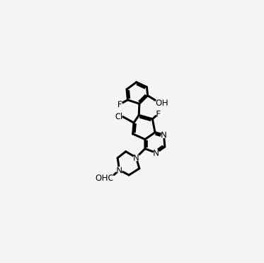 O=CN1CCN(c2ncnc3c(F)c(-c4c(O)cccc4F)c(Cl)cc23)CC1